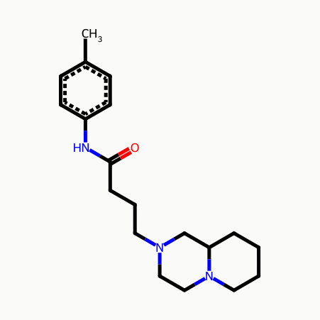 Cc1ccc(NC(=O)CCCN2CCN3CCCCC3C2)cc1